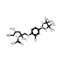 C[C@@H](CC(C)(C)C)CC(C)(COc1ccc(B2OC(C)(C)C(C)(C)O2)cc1Cl)OC(N)=O